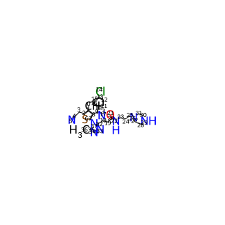 Cc1c(CC#N)sc2c1C(c1ccc(Cl)cc1)=NC(CC(=O)NCCCN1CCNCC1)c1nnc(C)n1-2